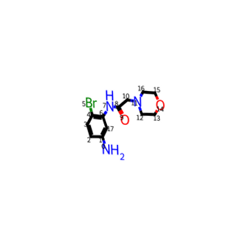 Nc1ccc(Br)c(NC(=O)CN2CCOCC2)c1